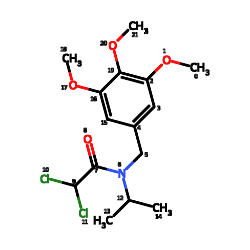 COc1cc(CN(C(=O)C(Cl)Cl)C(C)C)cc(OC)c1OC